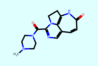 CN1CCN(C(=O)C2=NC=C3C=CC(=O)NC4=C3N2CC4)CC1